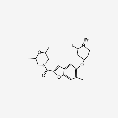 Cc1cc2oc(C(=O)N3CC(C)OC(C)C3)cc2cc1OC1CCN(C(C)C)C(I)C1